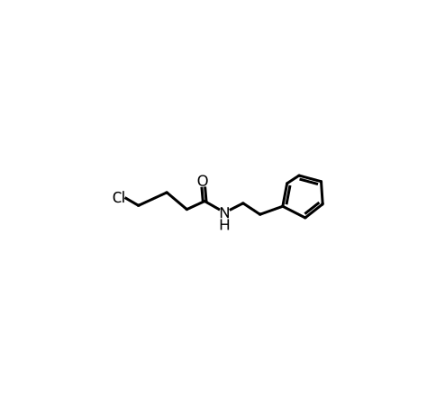 O=C(CCCCl)NCCc1ccccc1